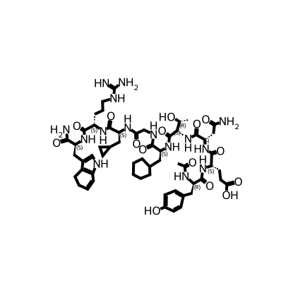 CC(=O)N[C@H](Cc1ccc(O)cc1)C(=O)N[C@@H](CCC(=O)O)C(=O)N[C@@H](CC(N)=O)C(=O)N[C@H](C(=O)N[C@@H](CC1CCCCC1)C(=O)NCC(=O)N[C@@H](CC1CC1)C(=O)N[C@@H](CCCNC(=N)N)C(=O)N[C@@H](Cc1c[nH]c2c1CCC=C2)C(N)=O)[C@@H](C)O